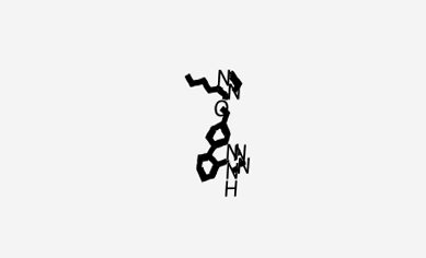 CCCCc1nccnc1OCc1ccc(-c2ccccc2-c2nnn[nH]2)cc1